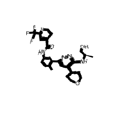 Cc1ccc(NC(=O)c2ccnc(C(F)(F)F)c2)cc1-c1cc(C2CCOCC2)c(N[C@H](C)CO)nn1